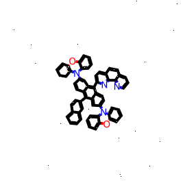 C1=CC2=C(CC1)N(c1ccc3c(-c4ccc5ccccc5c4)c4cc(N5c6ccccc6Oc6ccccc65)ccc4c(-c4ccc5ccc6cccnc6c5n4)c3c1)c1ccccc1O2